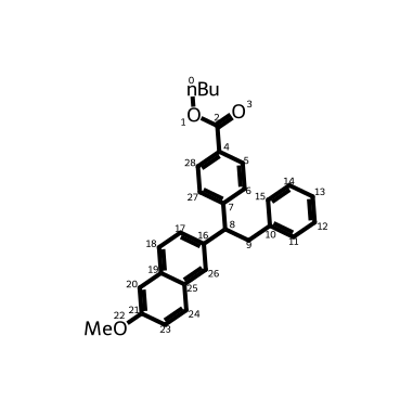 CCCCOC(=O)c1ccc(C(Cc2ccccc2)c2ccc3cc(OC)ccc3c2)cc1